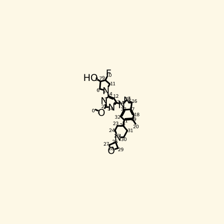 COc1nc(N2CC(O)C(F)C2)cc(-n2ncc3cc(C)c(C4CCN(C5COC5)CC4)cc32)n1